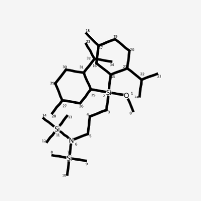 CO[Si](CCCN([Si](C)(C)C)[Si](C)(C)C)(C1CC(C)CCC1C(C)C)C1CC(C)CCC1C(C)C